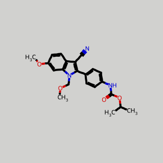 COCn1c(-c2ccc(NC(=O)OC(C)C)cc2)c(C#N)c2ccc(OC)cc21